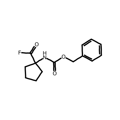 O=C(NC1(C(=O)F)CCCC1)OCc1ccccc1